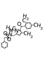 Cc1ccc(C(=O)c2c(C)cc(CNS(=O)(=O)Cc3ccccc3)n2C)c(C)c1